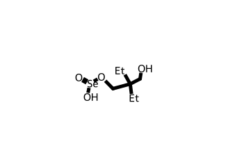 CCC(CC)(CO)CO[Se](=O)O